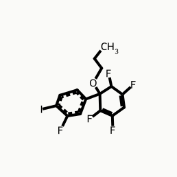 CCCOC1(c2ccc(I)c(F)c2)C(F)=C(F)C=C(F)C1F